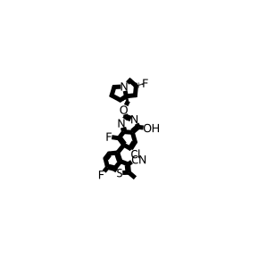 Cc1sc2c(F)ccc(-c3c(Cl)cc4c(O)nc(OC[C@@]56CCCN5C[C@H](F)C6)nc4c3F)c2c1C#N